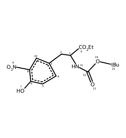 CCOC(=O)C(Cc1ccc(O)c([N+](=O)[O-])c1)NC(=O)OC(C)(C)C